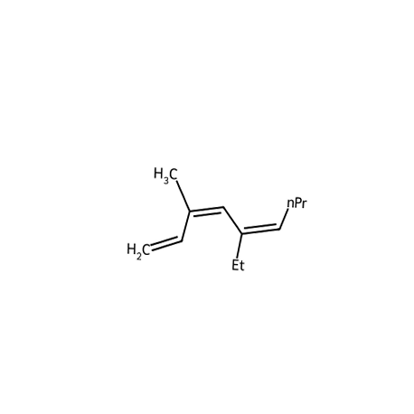 C=C/C(C)=C\C(=C/CCC)CC